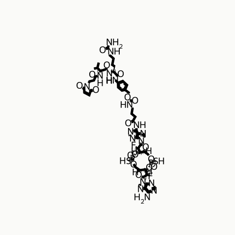 CC(C)[C@H](NC(=O)CCN1C(=O)C=CC1=O)C(=O)N[C@@H](CCCCNC(N)=O)C(=O)Nc1ccc(COC(=O)NCCCC(=O)Nc2ncnc3c2ncn3[C@@H]2O[C@@H]3CO[P@@](=O)(S)O[C@H]4[C@@H](F)[C@H](n5cnc6c(N)ncnc65)O[C@@H]4CO[P@@](=O)(S)O[C@H]3[C@H]2F)cc1